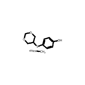 CCCCCCC.Oc1ccc(SC2COCOC2)cc1